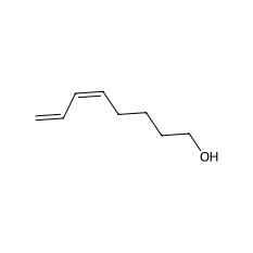 C=C/C=C\CCCCO